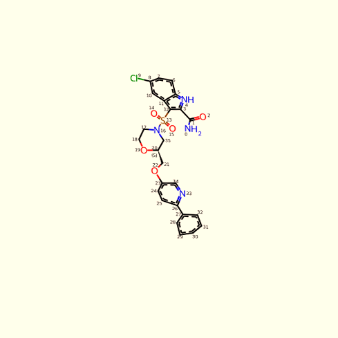 NC(=O)c1[nH]c2ccc(Cl)cc2c1S(=O)(=O)N1CCO[C@H](COc2ccc(-c3ccccc3)nc2)C1